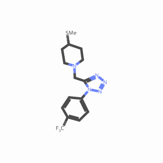 CSC1CCN(Cc2nnnn2-c2ccc(C(F)(F)F)cc2)CC1